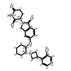 O=C1CC[C@@H](N2Cc3cc(O[C@@H]4CCCC[C@H]4N4CC(c5ccncc5Cl)C4)ccc3C2=O)C(=O)N1